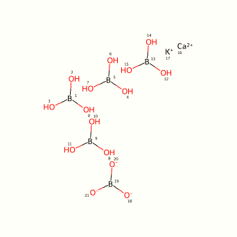 OB(O)O.OB(O)O.OB(O)O.OB(O)O.[Ca+2].[K+].[O-]B([O-])[O-]